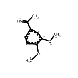 COc1ccc(C(C)=N)cc1OC